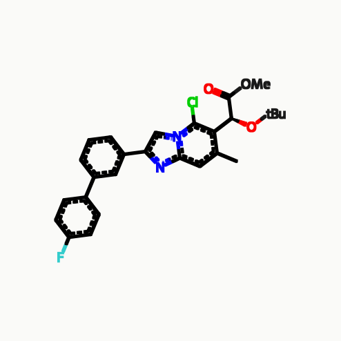 COC(=O)[C@@H](OC(C)(C)C)c1c(C)cc2nc(-c3cccc(-c4ccc(F)cc4)c3)cn2c1Cl